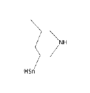 CCC[CH2][SnH].CNC